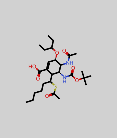 CCCCCC(SC(C)=O)C1C(C(=O)O)=C[C@@H](OC(CC)CC)C(NC(C)=O)[C@H]1NC(=O)OC(C)(C)C